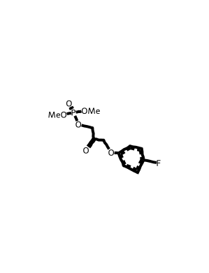 COP(=O)(OC)OCC(=O)COc1ccc(F)cc1